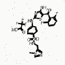 Cn1cncc1CNS(=O)(=O)c1ccc(Nc2nc(N)c(C(=O)c3c(F)cccc3F)s2)cc1.O=C(O)C(F)(F)F